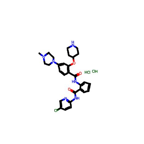 CN1CCN(c2ccc(C(=O)Nc3ccccc3C(=O)Nc3ccc(Cl)cn3)c(OC3CCNCC3)c2)CC1.Cl.Cl